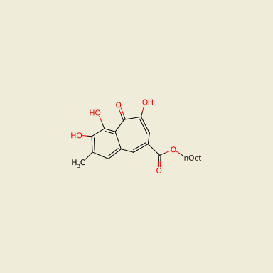 CCCCCCCCOC(=O)c1cc(O)c(=O)c2c(O)c(O)c(C)cc2c1